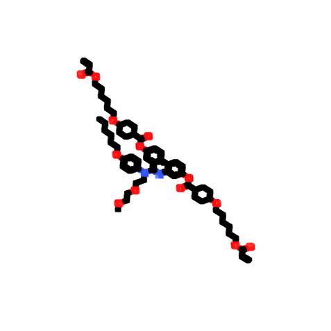 C=CC(=O)OCCCCCCOC1CCC(C(=O)Oc2ccc3c(c2)nc(N(CCOCCOC)c2ccc(OCCCCCC)cc2)c2cc(OC(=O)C4CCC(OCCCCCCOC(=O)C=C)CC4)ccc23)CC1